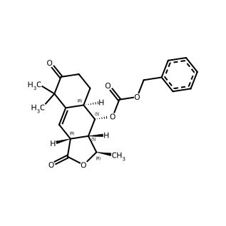 C[C@H]1OC(=O)[C@@H]2C=C3[C@@H](CCC(=O)C3(C)C)[C@H](OC(=O)OCc3ccccc3)[C@H]12